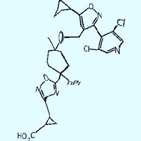 CCCC1(c2nc(C3CC3C(=O)O)no2)CCC(C)(OCc2c(-c3c(Cl)cncc3Cl)noc2C2CC2)CC1